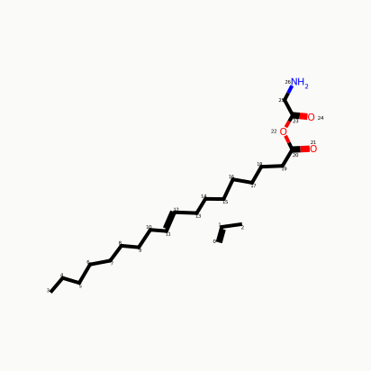 C=CC.CCCCCCCCC=CCCCCCCCC(=O)OC(=O)CN